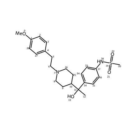 COc1ccc(CCN2CCC(C(C)(O)c3ccc(NS(C)(=O)=O)cc3)CC2)cc1